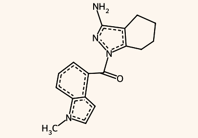 Cn1ccc2c(C(=O)n3nc(N)c4c3CCCC4)cccc21